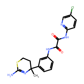 CC1(c2cccc(NC(=O)C(=O)Nc3ccc(Cl)cn3)c2)CCSC(N)=N1